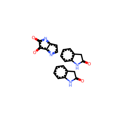 O=C1Cc2ccccc2N1.O=C1Cc2ccccc2N1.O=c1nc2ccnc-2c1=O